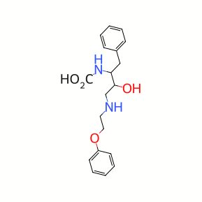 O=C(O)NC(Cc1ccccc1)C(O)CNCCOc1ccccc1